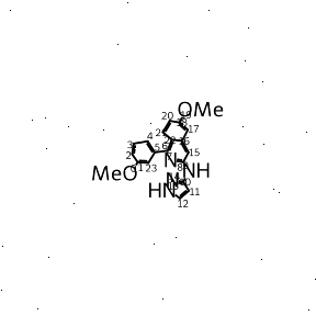 COc1cccc(-c2nc(Nc3cc[nH]n3)cc3cc(OC)ccc23)c1